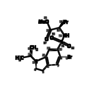 C=C(C)N1CCc2cc(Br)c(S(=O)(=O)N[C@@H](C(=O)OC)C(C)C)cc21